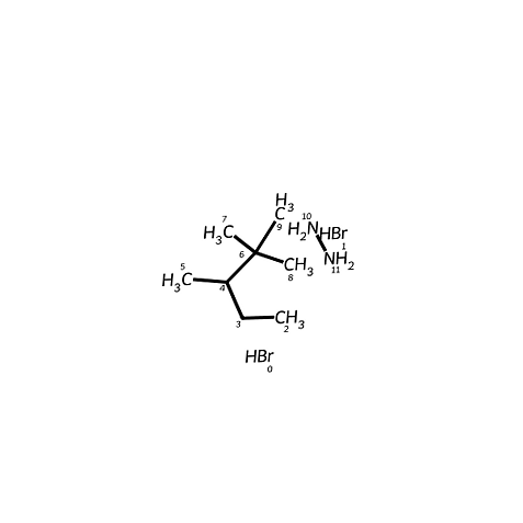 Br.Br.CCC(C)C(C)(C)C.NN